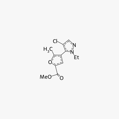 CCn1ncc(Cl)c1-c1cc(C(=O)OC)oc1C